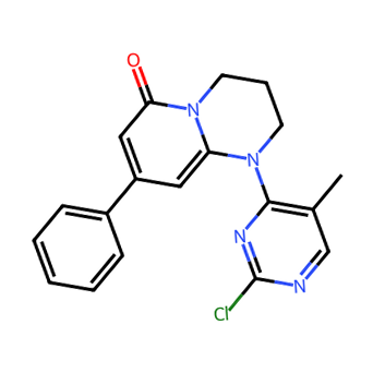 Cc1cnc(Cl)nc1N1CCCn2c1cc(-c1ccccc1)cc2=O